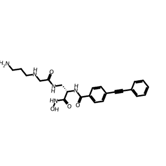 NCCCNCC(=O)NC[C@H](NC(=O)c1ccc(C#Cc2ccccc2)cc1)C(=O)NO